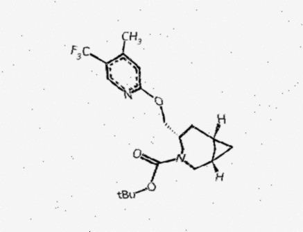 Cc1cc(OC[C@@H]2C[C@@H]3C[C@@H]3CN2C(=O)OC(C)(C)C)ncc1C(F)(F)F